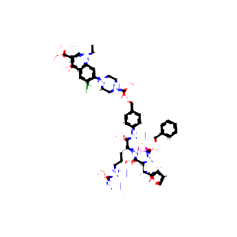 CCn1cc(C(=O)O)c(=O)c2cc(F)c(N3CCN(C(=O)OCc4ccc(NC(=O)[C@H](CCCNC(N)=O)NC(=O)[C@H](Cc5ccco5)NC(=O)OCc5ccccc5)cc4)CC3)cc21